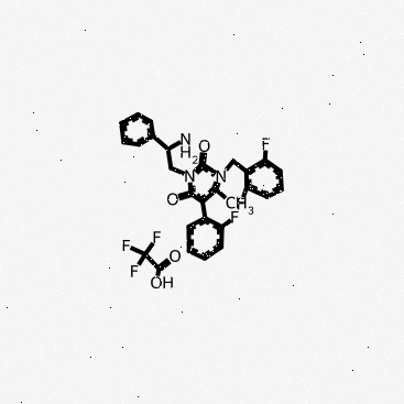 Cc1c(-c2ccccc2F)c(=O)n(CC(N)c2ccccc2)c(=O)n1Cc1c(F)cccc1F.O=C(O)C(F)(F)F